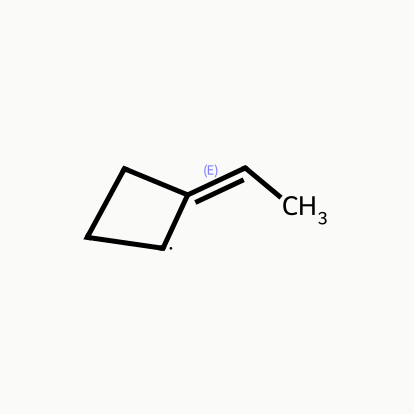 C/C=C1\[CH]CC1